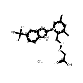 Cc1cc(C)c(CSSCC(=O)O)[n+](-c2nc3cc(C(F)(F)F)ccc3[nH]2)c1.[Cl-]